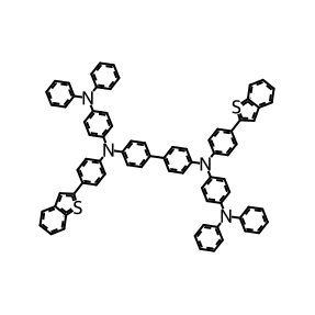 c1ccc(N(c2ccccc2)c2ccc(N(c3ccc(-c4ccc(N(c5ccc(-c6cc7ccccc7s6)cc5)c5ccc(N(c6ccccc6)c6ccccc6)cc5)cc4)cc3)c3ccc(-c4cc5ccccc5s4)cc3)cc2)cc1